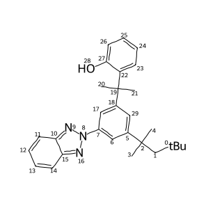 CC(C)(C)CC(C)(C)c1cc(-n2nc3ccccc3n2)cc(C(C)(C)c2ccccc2O)c1